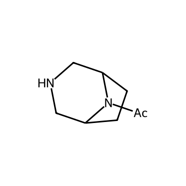 CC(=O)N1C2CCC1CNC2